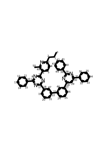 CCCc1ccc(-c2nc(-c3ccccc3)nc(-c3cccc(-c4cccc(-c5cc(-c6ccccc6)nc(-c6ccccc6)n5)c4)c3)n2)c(C)n1